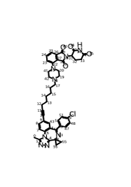 Cc1nnc2n1-c1ccc(C#CCCCCCCN3CCN(c4cccc5c4C(=O)N(C4CCC(=O)NC4=O)C5=O)CC3)cc1C(c1ccc(Cl)cc1)=NC21CC1